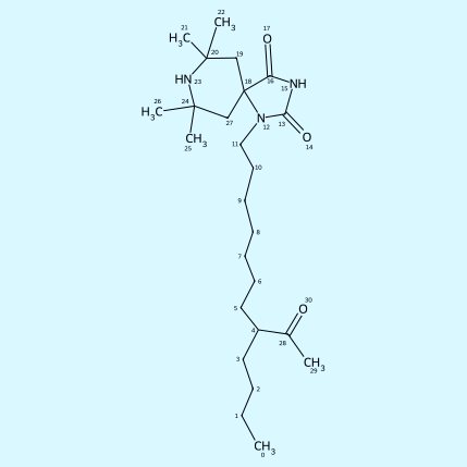 CCCCC(CCCCCCCN1C(=O)NC(=O)C12CC(C)(C)NC(C)(C)C2)C(C)=O